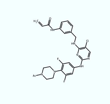 C=CC(=O)Nc1cccc(CNc2nc(Nc3cc(F)c(N4CCN(C(C)=O)CC4)c(F)c3)ncc2Cl)c1